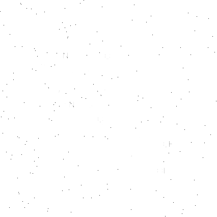 Cn1cnc2c1c(=O)n(CC1CC([C@](C)(O)C(F)(F)F)C1)c(=O)n2C